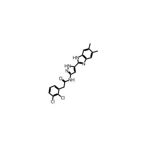 Cc1cc2nc(-c3cc(NC(=O)Cc4cccc(Cl)c4Cl)n[nH]3)[nH]c2cc1C